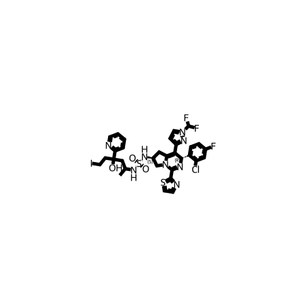 CC(CC(O)(CCI)c1ccccn1)NS(=O)(=O)N[C@H]1CC2=C(c3ccn(C(F)F)n3)[C@H](c3ccc(F)cc3Cl)N=C(c3nccs3)N2C1